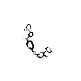 Fc1cnc(N/N=C/c2ccc(Nc3cccc(N4CCCCN4)c3)cn2)nc1N1CCOCC1